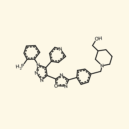 OCC1CCCN(Cc2ccc(-c3noc(-c4nnn(-c5ccccc5P)c4-c4ccncc4)n3)cc2)C1